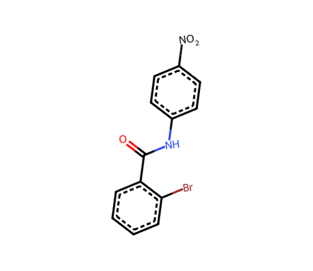 O=C(Nc1ccc([N+](=O)[O-])cc1)c1ccccc1Br